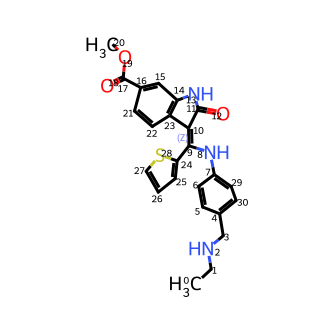 CCNCc1ccc(N/C(=C2\C(=O)Nc3cc(C(=O)OC)ccc32)c2cccs2)cc1